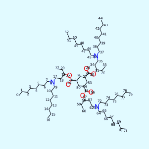 CCCCCCCCN(CCCCCCCC)CCC(CC)OC(=O)[C@H]1C[C@@H](C(=O)OC(CC)CCN(CCCCCCCC)CCCCCCCC)C[C@@H](C(=O)OC(CC)CCN(CCCCCCCC)CCCCCCCC)C1